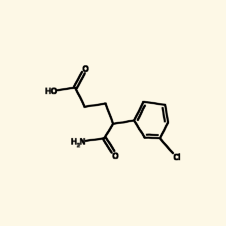 NC(=O)C(CCC(=O)O)c1cccc(Cl)c1